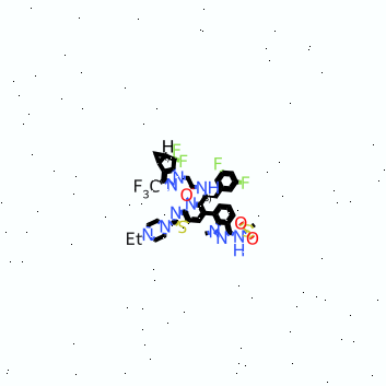 CCN1CCN(c2nc3nc([C@H](Cc4cc(F)cc(F)c4)NC(=O)Cn4nc(C(F)(F)F)c5c4C(F)(F)[C@@H]4CC54)c(-c4cccc5c(NS(C)(=O)=O)nn(C)c45)cc3s2)CC1